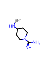 CCCNC1CCN(C(=N)N)CC1